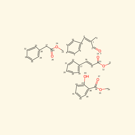 CC(C=O)=Cc1ccccc1.COC(=O)C=Cc1ccccc1.COC(=O)Cc1ccccc1.COC(=O)c1ccccc1O